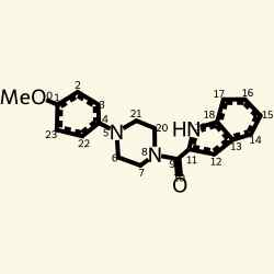 COc1ccc(N2CCN(C(=O)c3cc4ccccc4[nH]3)CC2)cc1